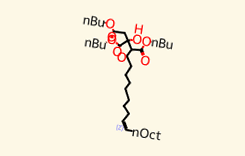 CCCCCCCC/C=C\CCCCCCCC(=O)C(C(=O)OCCCC)C(O)(CC(=O)OCCCC)C(=O)OCCCC